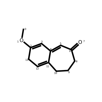 COC1=CC2=CC(=O)CCCC2=CC1